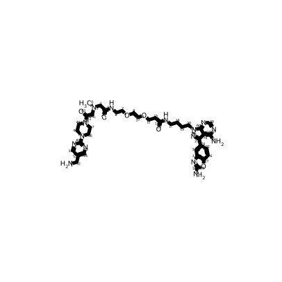 CN(CC(=O)NCCOCCOCCC(=O)NCCCCn1nc(-c2ccc3oc(N)nc3c2)c2c(N)ncnc21)CC(=O)N1CCN(c2ncc(CN)cn2)CC1